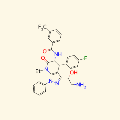 CCN1C(=O)[C@H](NC(=O)c2cccc(C(F)(F)F)c2)[C@H](c2ccc(F)cc2)c2c([C@H](O)CN)nn(-c3ccccc3)c21